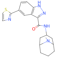 CN1C2CCCC1CC(NC(=O)c1n[nH]c3ccc(-c4nccs4)cc13)C2